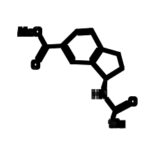 COC(=O)c1ccc2c(c1)[C@H](NC(=O)C(C)(C)C)CC2